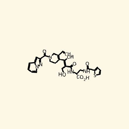 C=CC1=C(/C(O)=C(\CO)C(=O)N[C@@H](CNC(=O)c2cccs2)C(=O)O)CCN(C(=O)c2cc3ccccn3n2)C1